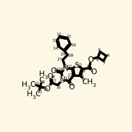 Cc1c(C(=O)OC2CCC2)sc2c1c(=O)n(CC(=O)OC(C)(C)C)c(=O)n2CCc1ccccc1